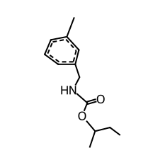 CCC(C)OC(=O)NCc1cccc(C)c1